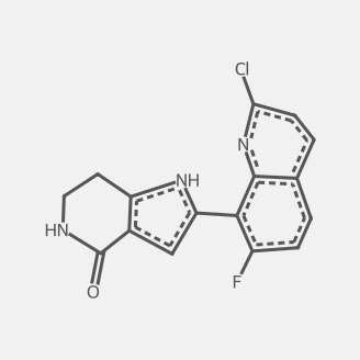 O=C1NCCc2[nH]c(-c3c(F)ccc4ccc(Cl)nc34)cc21